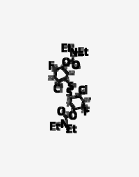 CCN(CC)C(=O)Oc1cc(SSc2cc(OC(=O)N(CC)CC)c(F)cc2Cl)c(Cl)cc1F